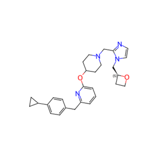 c1cc(Cc2ccc(C3CC3)cc2)nc(OC2CCN(Cc3nccn3C[C@@H]3CCO3)CC2)c1